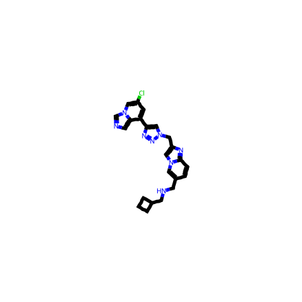 Clc1cc(-c2cn(Cc3cn4cc(CNCC5CCC5)ccc4n3)nn2)c2cncn2c1